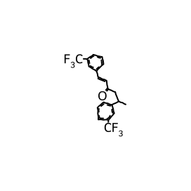 CC(CC(=O)/C=C/c1cccc(C(F)(F)F)c1)c1cccc(C(F)(F)F)c1